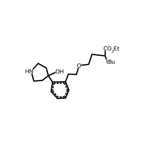 CCOC(=O)C(CCOCCc1ccccc1C1(O)CCNCC1)C(C)(C)C